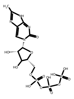 Cc1nc2cn([C@@H]3O[C@H](COP(=O)(O)OP(=O)(O)OP(=O)(O)O)C(O)[C@@H]3O)c(=O)nc2[nH]1